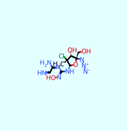 C[C@]1(Cl)[C@H](NC(=N/O)/N=C(/N)C=N)O[C@@](CO)(N=[N+]=[N-])[C@H]1O